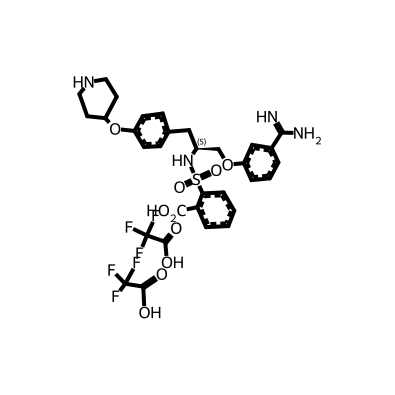 N=C(N)c1cccc(OC[C@H](Cc2ccc(OC3CCNCC3)cc2)NS(=O)(=O)c2ccccc2C(=O)O)c1.O=C(O)C(F)(F)F.O=C(O)C(F)(F)F